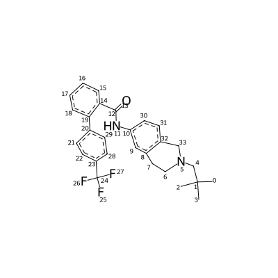 CC(C)(C)CN1CCc2cc(NC(=O)c3ccccc3-c3ccc(C(F)(F)F)cc3)ccc2C1